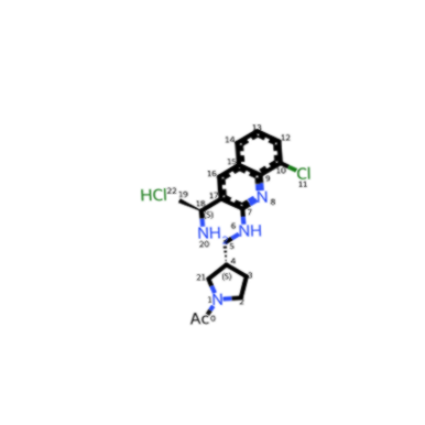 CC(=O)N1CC[C@@H](CNc2nc3c(Cl)cccc3cc2[C@H](C)N)C1.Cl